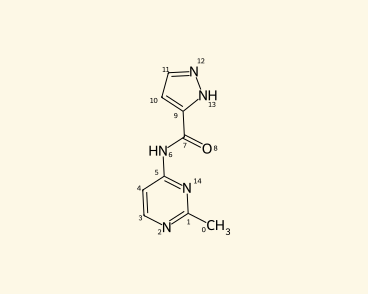 Cc1nccc(NC(=O)c2ccn[nH]2)n1